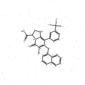 O=C(O)C1CNc2c(-c3cccc(C(F)(F)F)c3)c(Cc3cccc4ccccc34)c(Br)c(=O)n21